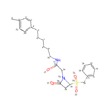 Cc1ccc(CCCCCCNC(=O)CN2C(=O)CC2S(=O)(=O)Cc2ccccc2)cc1